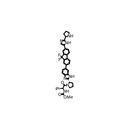 COC(=O)NC(C(=O)N1CCC[C@H]1c1nc2ccc(-c3ccc4c(c3)C(F)(F)c3cc(-c5cnc(C6CCCN6)[nH]5)ccc3-4)cc2[nH]1)C(C)C